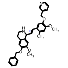 COc1cc(C)c(/C=C/C2NCCc3cc(OCc4ccccc4)c(OC)cc32)cc1OCc1cccnc1